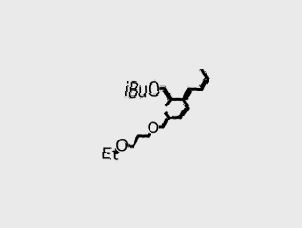 C\C=C/C=C(\C=C/C(C)=C/OCCCOCC)C(/C)=C/OCC(C)C